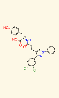 O=C(C=Cc1cn(-c2ccccc2)nc1-c1ccc(Cl)c(Cl)c1)N[C@@H](Cc1ccc(O)cc1)C(=O)O